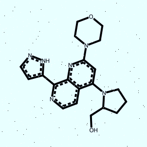 OCC1CCCN1c1cc(N2CCOCC2)nc2c(-c3ccn[nH]3)nccc12